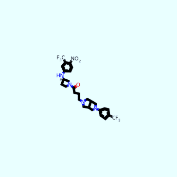 O=C(CCCN1CC2CN(c3ccc(C(F)(F)F)cc3)CC2C1)N1CC[C@@H](Nc2ccc([N+](=O)[O-])c(C(F)(F)F)c2)C1